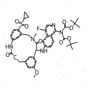 COc1cc2cc(c1)C(Nc1ccc3c(N(C(=O)OC(C)(C)C)C(=O)OC(C)(C)C)ncc(F)c3c1)C(=O)N(C)Cc1cc(ccc1S(=O)(=O)C1CC1)NC(=O)CC2